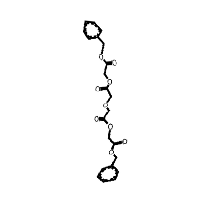 O=C(COCC(=O)OCC(=O)OCc1ccccc1)OCC(=O)OCc1ccccc1